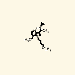 CCc1ccnc2c(C(C)NC3CC3)cn(CCCCOC)c12